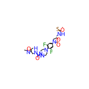 COC(=S)NC[C@H]1CN(c2cc(F)c(N3CCNN(C(=O)NCc4nc(C)oc4C)CC3)c(F)c2)C(=O)O1